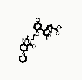 COC(=O)c1ccc2c(-c3cc(Cl)ccc3OCCn3c(C)nc4c(c3=O)CC(N3CCCCC3)CC4)cc(C)nn12